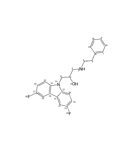 OC(CNCCc1ccccc1)Cn1c2ccc(F)cc2c2cc(F)ccc21